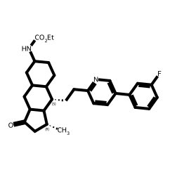 CCOC(=O)NC1CCC2C(C1)CC1C(=O)C[C@@H](C)C1[C@H]2CCc1ccc(-c2cccc(F)c2)cn1